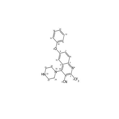 N#Cc1c(C(F)(F)F)nc2ccc(Oc3ccccc3)cc2c1N1CCNCC1